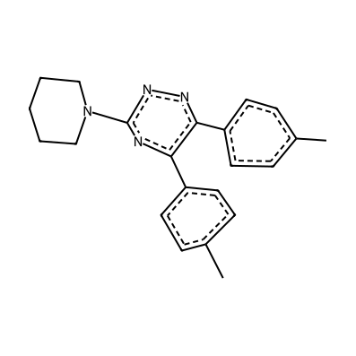 Cc1ccc(-c2nnc(N3CCCCC3)nc2-c2ccc(C)cc2)cc1